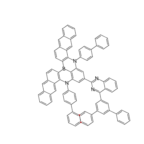 c1ccc(-c2ccc(N3c4cc(-c5nc(-c6cc(-c7ccccc7)cc(-c7ccccc7)c6)c6ccccc6n5)cc5c4B(c4ccc6cc7ccccc7cc6c43)c3ccc4cc6ccccc6cc4c3N5c3ccc(-c4ccccc4)cc3)cc2)cc1